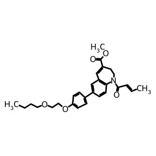 CC=CC(=O)N1CCC(C(=O)OC)=Cc2cc(-c3ccc(OCCOCCCC)cc3)ccc21